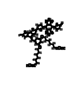 C=c1cc2c(s1)=c1s/c(=c3\cc/c(=c4\c5c(/c(=c6/ccc(=C)s6)c6nsnc46)N=S=N5)s3)cc1/C2=C\c1cc(OCCCCCCCCCCCCCCCC)cc(OCCCCCCCCCCCCCCCC)c1